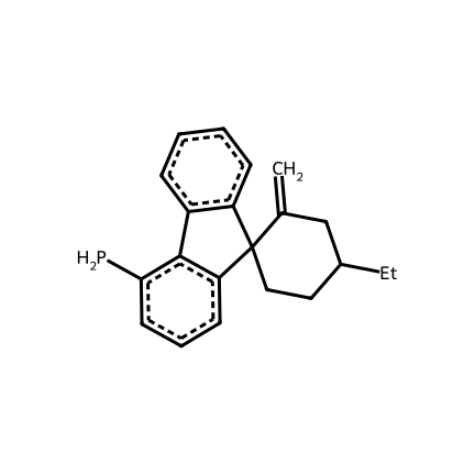 C=C1CC(CC)CCC12c1ccccc1-c1c(P)cccc12